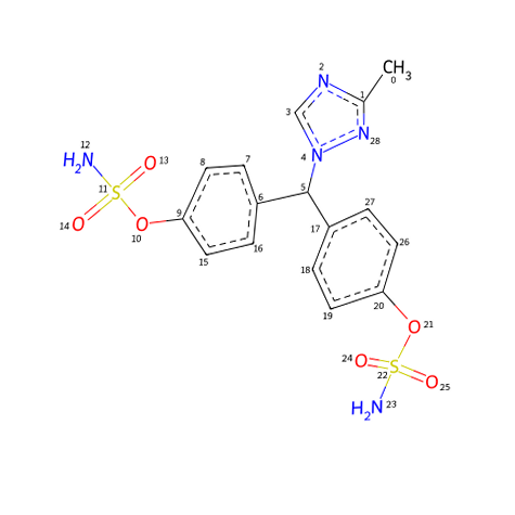 Cc1ncn(C(c2ccc(OS(N)(=O)=O)cc2)c2ccc(OS(N)(=O)=O)cc2)n1